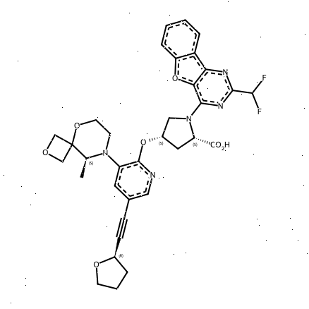 C[C@@H]1N(c2cc(C#C[C@H]3CCCO3)cnc2O[C@H]2C[C@@H](C(=O)O)N(c3nc(C(F)F)nc4c3oc3ccccc34)C2)CCOC12COC2